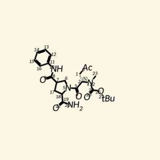 CC(=O)C[C@@H](C(=O)N1CC(C(=O)Nc2ccccc2)CC1C(N)=O)N(C)C(=O)OC(C)(C)C